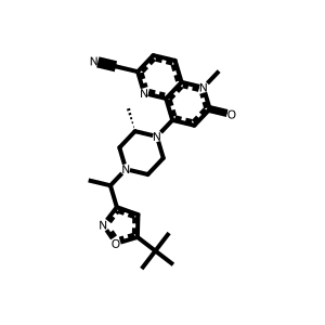 CC(c1cc(C(C)(C)C)on1)N1CCN(c2cc(=O)n(C)c3ccc(C#N)nc23)[C@@H](C)C1